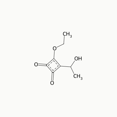 CCOc1c(C(C)O)c(=O)c1=O